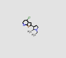 CCN1CC=C(c2cc3c(Cl)ccnc3s2)C1C